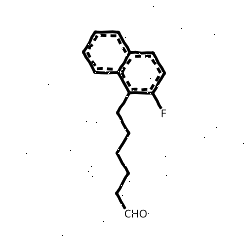 O=[C]CCCCCc1c(F)ccc2ccccc12